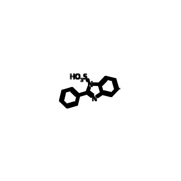 O=S(=O)(O)n1c(-c2ccccc2)nc2c[c]ccc21